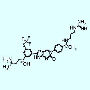 C[C@H](N)CC[C@@H](O)c1cc(SC(F)(F)F)cc(-c2cc3cn(-c4ccc([C@H](C)NCCCNC(=N)N)cc4)c(=O)nc3[nH]2)c1